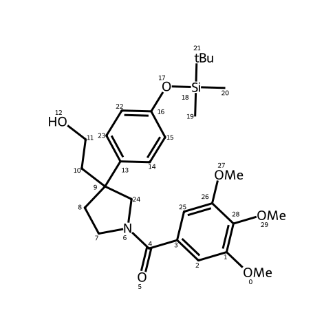 COc1cc(C(=O)N2CCC(CCO)(c3ccc(O[Si](C)(C)C(C)(C)C)cc3)C2)cc(OC)c1OC